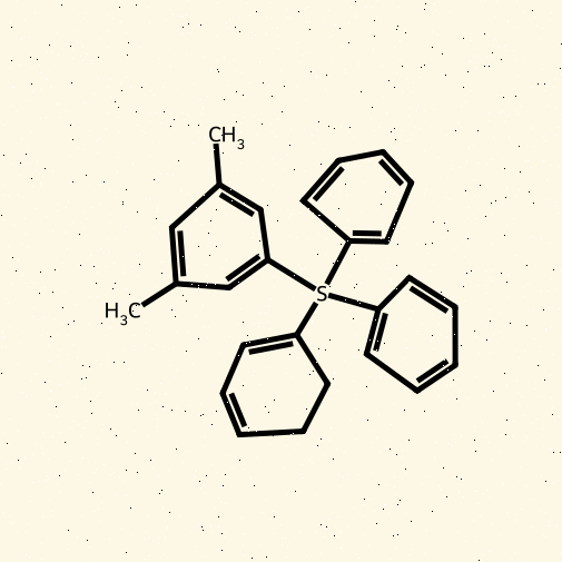 Cc1cc(C)cc(S(C2=CC=CCC2)(c2ccccc2)c2ccccc2)c1